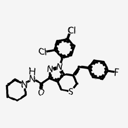 O=C(NN1CCCCC1)c1nn(-c2ccc(Cl)cc2Cl)c2c1CSC/C2=C\c1ccc(F)cc1